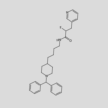 O=C(NCCCCC1CCN(C(c2ccccc2)c2ccccc2)CC1)C(F)Cc1cccnc1